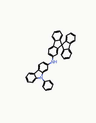 c1ccc(-n2c3ccccc3c3ccc(Nc4ccc5c(c4)C4(c6ccccc6-c6ccccc64)c4ccccc4-5)cc32)cc1